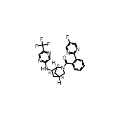 O=C(c1ccccc1-c1ncc(F)cn1)N1C[C@@H]2C[C@@H](Nc3cnc(C(F)(F)F)cn3)[C@@H]1C2